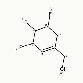 OCC1=CC(F)C(F)C(F)C1